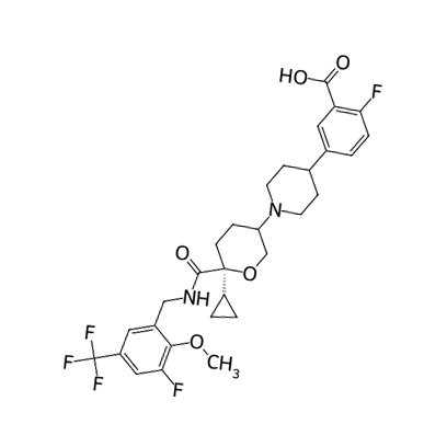 COc1c(F)cc(C(F)(F)F)cc1CNC(=O)[C@@]1(C2CC2)CCC(N2CCC(c3ccc(F)c(C(=O)O)c3)CC2)CO1